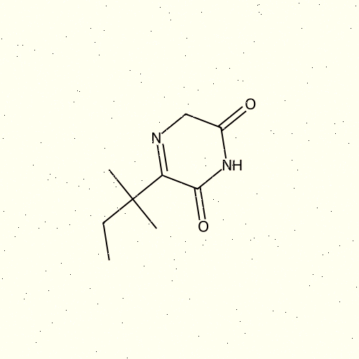 CCC(C)(C)C1=NCC(=O)NC1=O